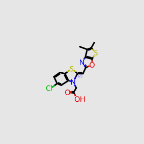 Cc1sc2oc(/C=C3\Sc4ccc(Cl)cc4N3CC(=O)O)nc2c1C